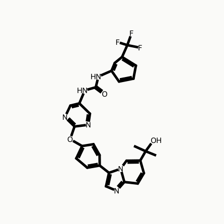 CC(C)(O)c1ccc2ncc(-c3ccc(Oc4ncc(NC(=O)Nc5cccc(C(F)(F)F)c5)cn4)cc3)n2c1